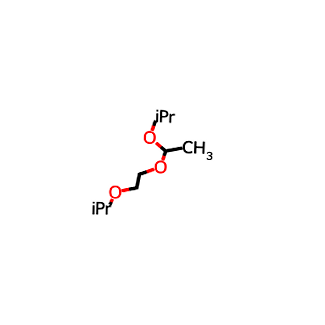 CC(C)OCCOC(C)OC(C)C